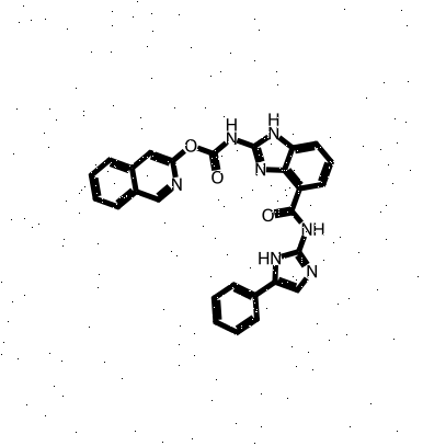 O=C(Nc1nc2c(C(=O)Nc3ncc(-c4ccccc4)[nH]3)cccc2[nH]1)Oc1cc2ccccc2cn1